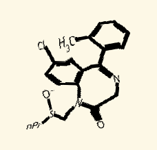 CCC[S+]([O-])CN1C(=O)CN=C(c2ccccc2C)c2cc(Cl)ccc21